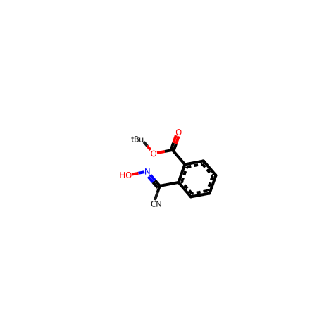 CC(C)(C)OC(=O)c1ccccc1C(C#N)=NO